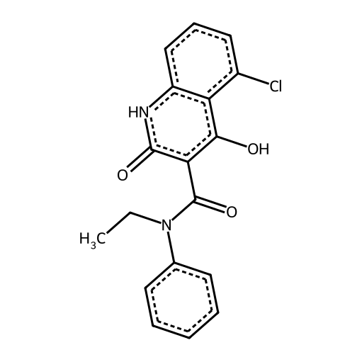 CCN(C(=O)c1c(O)c2c(Cl)cccc2[nH]c1=O)c1ccccc1